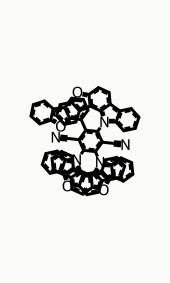 N#Cc1c(-c2cccc3c2oc2ccccc23)c(-n2c3ccccc3c3ccc4oc5ccccc5c4c32)c(C#N)c(-n2c3ccccc3c3ccc4oc5ccccc5c4c32)c1-n1c2ccccc2c2ccc3oc4ccccc4c3c21